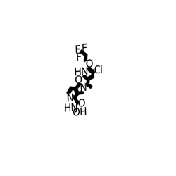 CC(C1=CC(Cl)=C(OCCC(F)(F)F)NC1)N1Cc2c(ccnc2C(=O)NO)C1=O